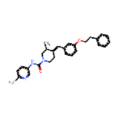 Cc1ccc(NC(=O)N2CCC(=Cc3cccc(OCCc4ccccc4)c3)C(C)C2)cn1